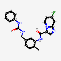 Cc1ccc(CNC(=O)Nc2ccccc2)cc1NC(=O)c1cnc2cc(Br)ccn12